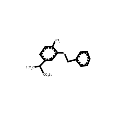 CCOC(=O)C(C(=O)OCC)c1ccc([N+](=O)[O-])c(OCc2ccccc2)c1